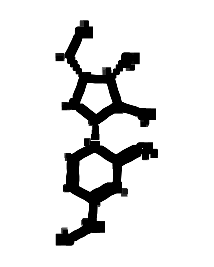 C=C1N=C(NO)C=CN1[C@@H]1O[C@H](CO)[C@H](O)C1O